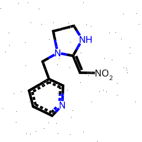 O=[N+]([O-])C=C1NCCN1Cc1cccnc1